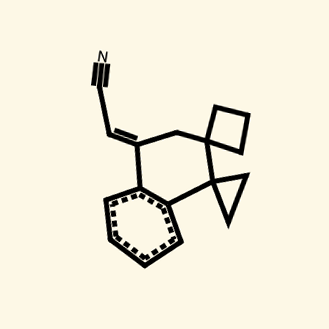 N#CC=C1CC2(CCC2)C2(CC2)c2ccccc21